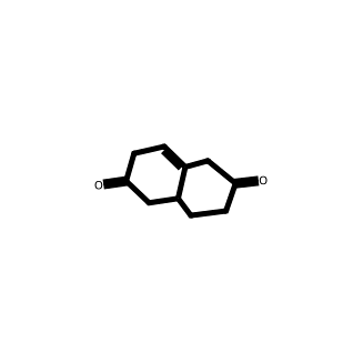 O=C1CCC2CC(=O)CC=C2C1